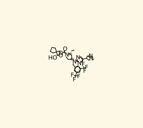 CC[C@@H]1C[C@H](N(Cc2cc(C(F)(F)F)cc(C(F)(F)F)c2)c2ncc(C3C=NN(C)C3)cn2)CCN1C(=O)OCC1(C(=O)O)CCCC1